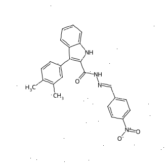 Cc1ccc(-c2c(C(=O)NN=Cc3ccc([N+](=O)[O-])cc3)[nH]c3ccccc23)cc1C